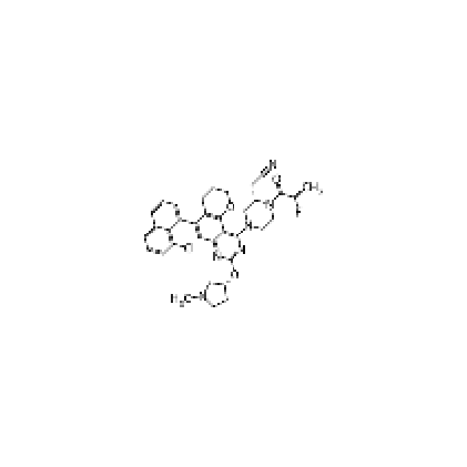 C=C(F)C(=O)N1CCN(c2nc(O[C@@H]3CCN(C)C3)nc3cc(-c4cccc5cccc(Cl)c45)c4c(c23)OCCC4)C[C@@H]1CC#N